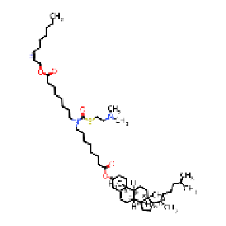 CCCCCC/C=C\COC(=O)CCCCCCCN(CCCCCCCC(=O)O[C@H]1CC[C@@]2(C)C(=CC[C@H]3[C@H]4CC[C@H]([C@H](C)CCCC(C)C)[C@@]4(C)CC[C@H]32)C1)C(=O)SCCN(C)C